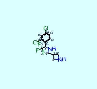 FC(F)(F)[C@@H](NCC1CNC1)c1ccc(Cl)cc1Cl